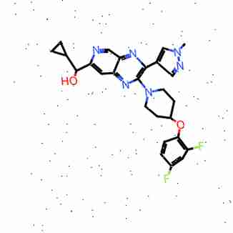 Cn1cc(-c2nc3cnc(C(O)C4CC4)cc3nc2N2CCC(Oc3ccc(F)cc3F)CC2)cn1